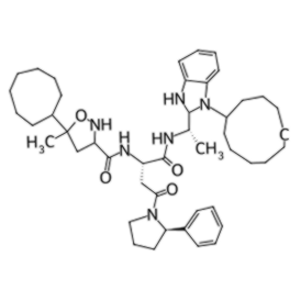 C[C@H](NC(=O)[C@H](CC(=O)N1CCC[C@@H]1c1ccccc1)NC(=O)C1CC(C)(C2CCCCCCC2)ON1)C1Nc2ccccc2N1C1CCCCCCCCC1